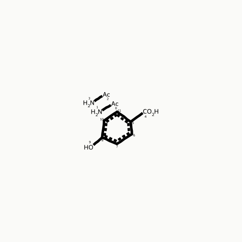 CC(N)=O.CC(N)=O.O=C(O)c1ccc(O)cc1